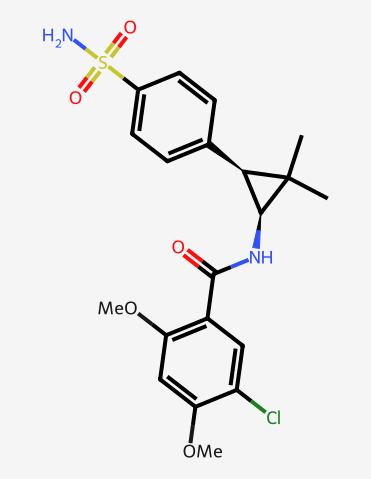 COc1cc(OC)c(C(=O)N[C@H]2[C@@H](c3ccc(S(N)(=O)=O)cc3)C2(C)C)cc1Cl